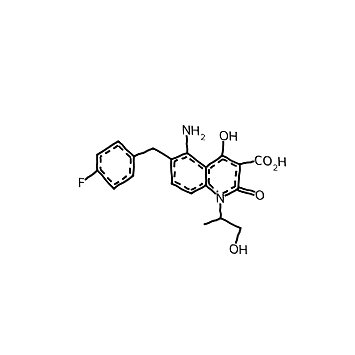 CC(CO)n1c(=O)c(C(=O)O)c(O)c2c(N)c(Cc3ccc(F)cc3)ccc21